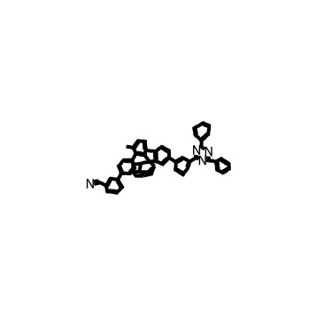 Cc1ccc2c(c1-c1ccc(-c3cccc(C#N)c3)cc1)C1(c3cc(-c4cccc(-c5nc(-c6ccccc6)nc(-c6ccccc6)n5)c4)ccc3-2)C2CC3CC(C2)CC1C3